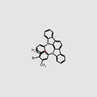 Cc1cc(-n2c3ccccc3c3ccc4c5ccccc5n(-c5ccccc5)c4c32)cc(C)c1Br